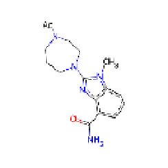 CC(=O)N1CCCN(c2nc3c(C(N)=O)cccc3n2C)CC1